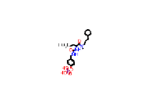 CN(CCCC1CCCCC1)C(=O)C(CCC(=O)O)NC(=O)NCc1ccc(OP(=O)(O)O)cc1